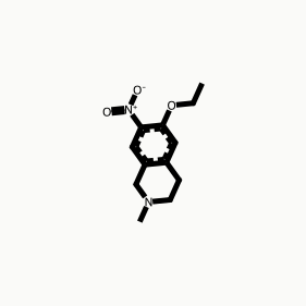 CCOc1cc2c(cc1[N+](=O)[O-])CN(C)CC2